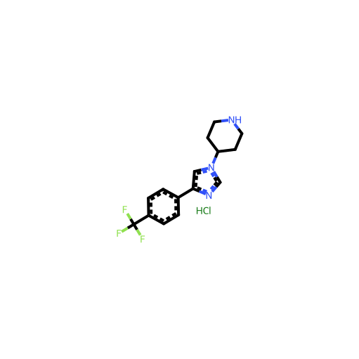 Cl.FC(F)(F)c1ccc(-c2cn(C3CCNCC3)cn2)cc1